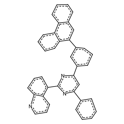 c1ccc(-c2cc(-c3cccc(-c4cc5ccccc5c5ccccc45)c3)nc(-c3cccc4ncccc34)n2)cc1